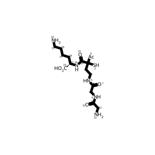 CC(=O)C(S)(CCNC(=O)CNC(=O)CN)C(=O)N[C@@H](CCCCN)C(=O)O